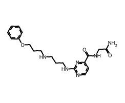 NC(=O)CNC(=O)c1ccnc(NCCCNCCCOc2ccccc2)n1